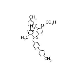 Cc1ccc(-c2ccc(CC(Sc3ccc(OCC(=O)O)c(C)c3)c3sc(-c4ccc(C)cc4)nc3C)cn2)cc1